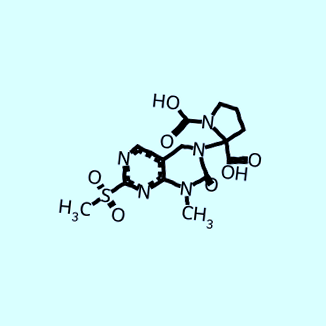 CN1C(=O)N(C2(C(=O)O)CCCN2C(=O)O)Cc2cnc(S(C)(=O)=O)nc21